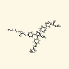 CCCCCCCCCCCCNC(=O)/C=C/c1ccc(-c2nc(-c3ccc(C4=NOC(C(=O)OC(C)(C)C)C4)cc3)n(C)c2-c2ccc(OCC(=O)OC(C)(C)C)cc2)cc1